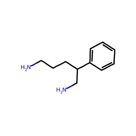 NCCCC(CN)c1ccccc1